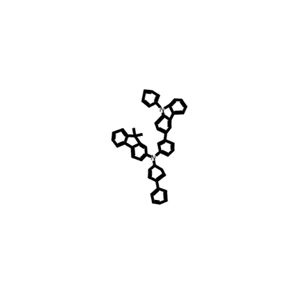 CC1(C)c2ccccc2-c2ccc(N(c3cccc(-c4ccc5c(c4)c4ccccc4n5-c4ccccc4)c3)C3C=CC(c4ccccc4)=CC3)cc21